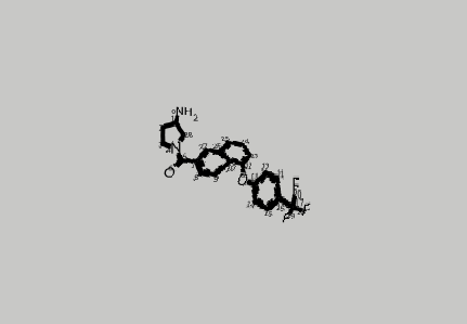 NC1CCN(C(=O)c2ccc3c(Oc4ccc(C(F)(F)F)cc4)cccc3c2)C1